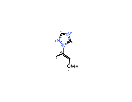 COC=C(C)n1cncn1